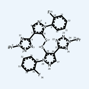 CC(C)n1nnc(-c2cnn(-c3ccccc3F)c2SSc2c(-c3nnn(C(C)C)n3)cnn2-c2ccccc2F)n1